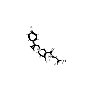 O=C(O)CNC(=O)C1=C(O)CCN(CC2(c3ccc(Cl)cc3)CC2)C1